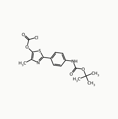 Cc1nc(-c2ccc(NC(=O)OC(C)(C)C)cc2)sc1OC(=O)Cl